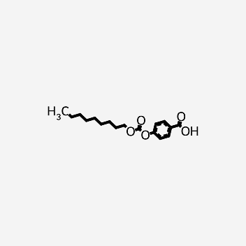 CCCCCCCCCOC(=O)Oc1ccc(C(=O)O)cc1